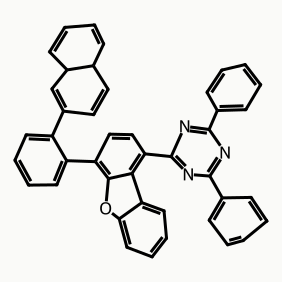 C1=CC2C=CC(c3ccccc3-c3ccc(-c4nc(-c5ccccc5)nc(-c5ccccc5)n4)c4c3oc3ccccc34)=CC2C=C1